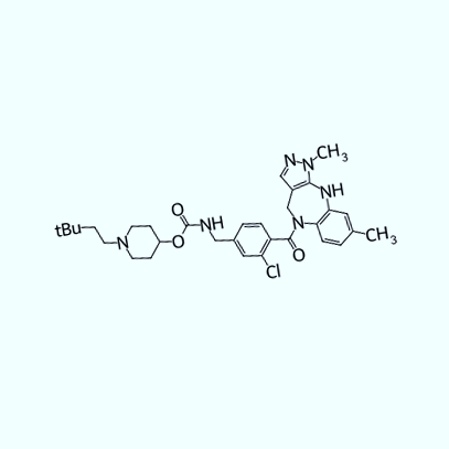 Cc1ccc2c(c1)Nc1c(cnn1C)CN2C(=O)c1ccc(CNC(=O)OC2CCN(CCC(C)(C)C)CC2)cc1Cl